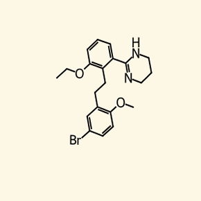 CCOc1cccc(C2=NCCCN2)c1CCc1cc(Br)ccc1OC